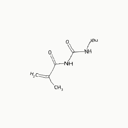 C=C(C)C(=O)NC(=O)NC(C)CC